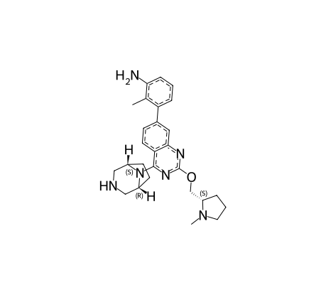 Cc1c(N)cccc1-c1ccc2c(N3[C@@H]4CC[C@H]3CNC4)nc(OC[C@@H]3CCCN3C)nc2c1